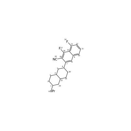 CCCC1CCC2CC(c3cc4cccc(F)c4c(F)c3C#N)CCC2C1